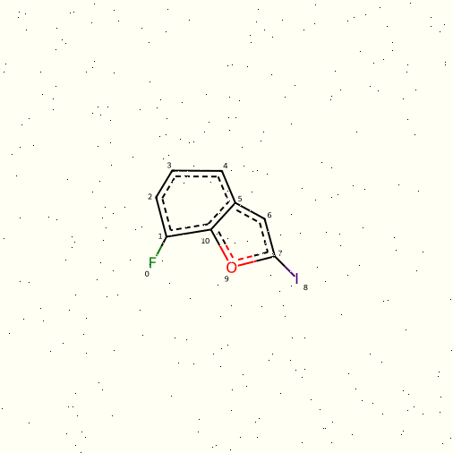 Fc1cccc2cc(I)oc12